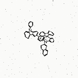 CC1(c2ccccc2N(c2ccc(-c3ccc4c(c3)c3ccccc3n4-c3ccccc3)cc2)c2ccc3ccccc3c2)c2ccccc2-c2ccccc21